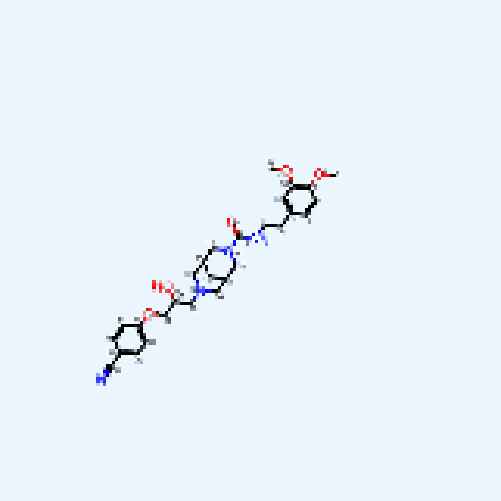 COc1ccc(CCNC(=O)N2CC3CC(CN(CC(O)COc4ccc(C#N)cc4)C3)C2)cc1OC